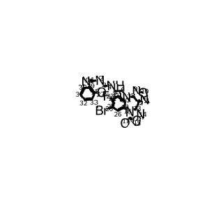 N#C/N=C(/NCCNc1nonc1-c1noc(=O)n1-c1ccc(F)c(Br)c1)Oc1ccccc1